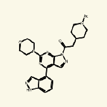 CC(=O)N1CCC(CC(=O)n2ncc3c(-c4cccc5[nH]ncc45)nc(N4CCOCC4)nc32)CC1